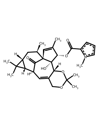 CC1=C[C@]23C(=O)[C@@H](C=C4COC(C)(C)O[C@H]4[C@]2(O)[C@H]1OC(=O)c1cccn1C)[C@H]1[C@@H](C[C@H]3C)C1(C)C